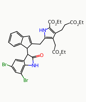 CCOC(=O)CCc1c(C(=O)OCC)[nH]c(CC2=Cc3ccccc3C2C2C(=O)Nc3c(Br)cc(Br)cc32)c1CC(=O)OCC